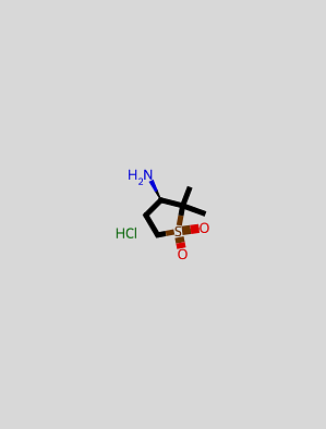 CC1(C)[C@H](N)CCS1(=O)=O.Cl